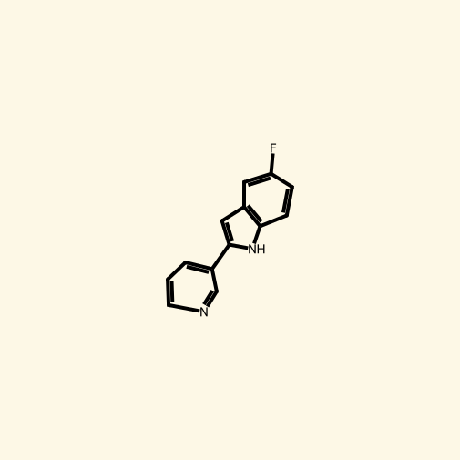 Fc1ccc2[nH]c(-c3cccnc3)cc2c1